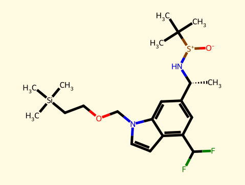 C[C@@H](N[S+]([O-])C(C)(C)C)c1cc(C(F)F)c2ccn(COCC[Si](C)(C)C)c2c1